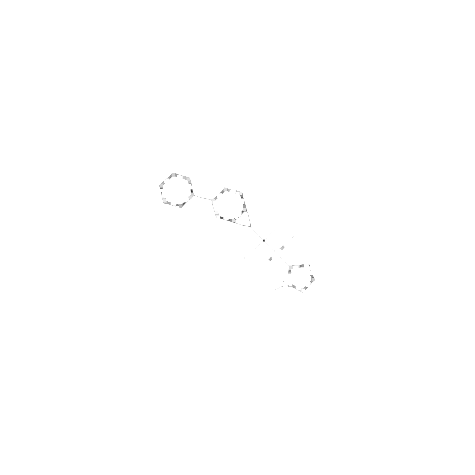 Cn1ccnc1S(=O)(=O)C(C)(C(=O)O)C1c2ccc(-c3ccccc3)cc21